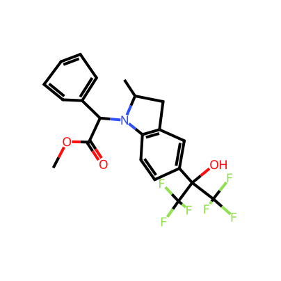 COC(=O)C(c1ccccc1)N1c2ccc(C(O)(C(F)(F)F)C(F)(F)F)cc2CC1C